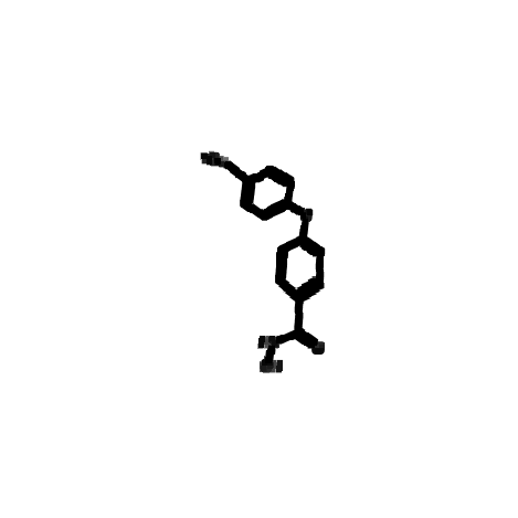 CCCCc1ccc(Oc2ccc(C(=O)NO)cc2)cc1